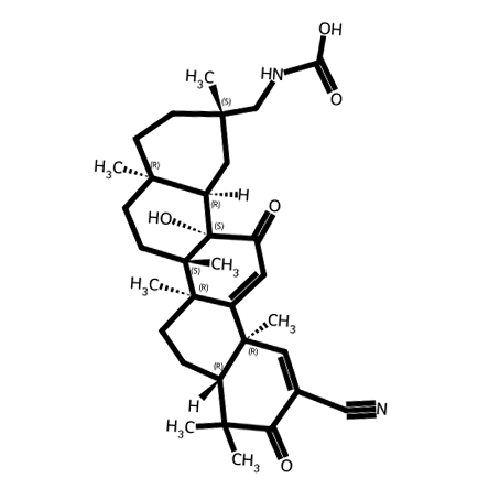 CC1(C)C(=O)C(C#N)=C[C@]2(C)C3=CC(=O)[C@]4(O)[C@@H]5C[C@@](C)(CNC(=O)O)CC[C@]5(C)CC[C@@]4(C)[C@]3(C)CC[C@@H]12